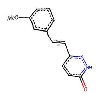 COc1cccc(/C=C/c2ccc(=O)[nH]n2)c1